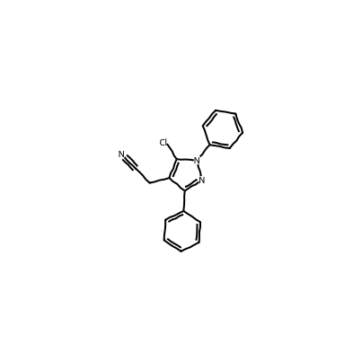 N#CCc1c(-c2ccccc2)nn(-c2ccccc2)c1Cl